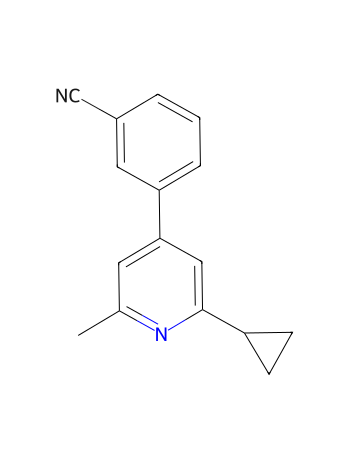 Cc1cc(-c2cccc(C#N)c2)cc(C2CC2)n1